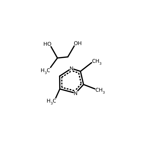 CC(O)CO.Cc1cnc(C)c(C)n1